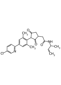 C=CC(C)NC(=O)CC1CC(=O)C(c2c(C)cc(-c3ccc(Cl)cn3)cc2C)C1=O